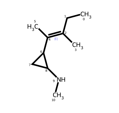 CC/C(C)=C(\C)C1CC1NC